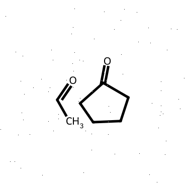 CC=O.O=C1CCCC1